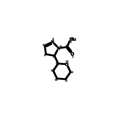 CC(C)(C)C(=O)N1N=CCC1C1CCCCO1